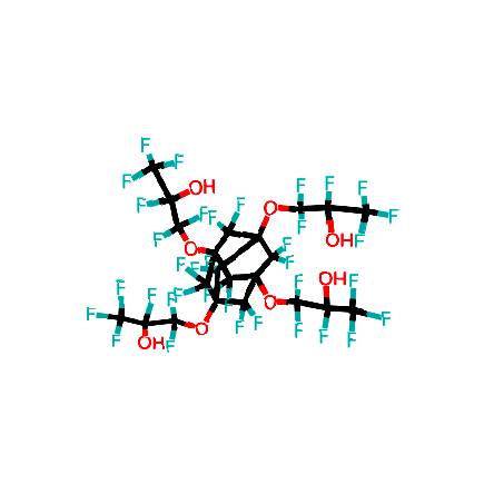 OC(F)(C(F)(F)F)C(F)(F)OC12C(F)(F)C3(OC(F)(F)C(O)(F)C(F)(F)F)C(F)(F)C(OC(F)(F)C(O)(F)C(F)(F)F)(C1(F)F)C(F)(F)C(OC(F)(F)C(O)(F)C(F)(F)F)(C2(F)F)C3(F)F